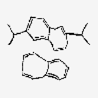 CC(C)c1ccc2cc(C(C)C)ccc2c1.c1ccc2ccccc2c1